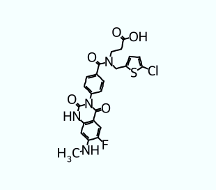 CNc1cc2[nH]c(=O)n(-c3ccc(C(=O)N(CCC(=O)O)Cc4ccc(Cl)s4)cc3)c(=O)c2cc1F